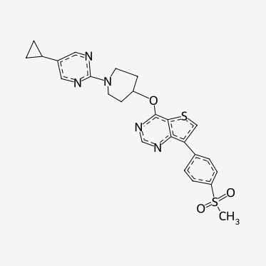 CS(=O)(=O)c1ccc(-c2csc3c(OC4CCN(c5ncc(C6CC6)cn5)CC4)ncnc23)cc1